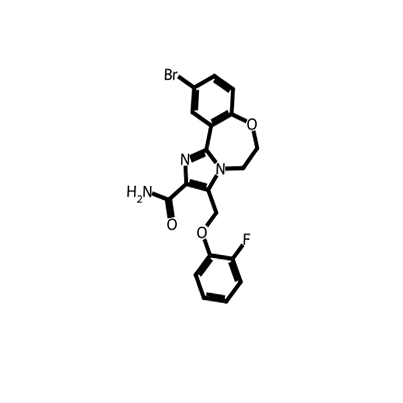 NC(=O)c1nc2n(c1COc1ccccc1F)CCOc1ccc(Br)cc1-2